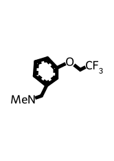 CNCc1cccc(OCC(F)(F)F)c1